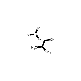 CC(C)CO.[Br][Ti]([Br])[Br]